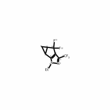 CCn1nc(C(F)(F)F)c2c1C1CC1C2(F)F